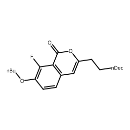 CCCCCCCCCCCCc1cc2ccc(OCCCC)c(F)c2c(=O)o1